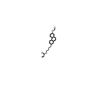 C=CC(=O)OCCCCc1ccc2c(ccc3cc(OC=O)ccc32)c1